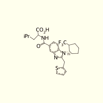 CC(C)CC(NC(=O)c1ccc2c(c1)nc(Cc1cccs1)n2[C@H]1CCCCC1C(F)(F)F)C(=O)O